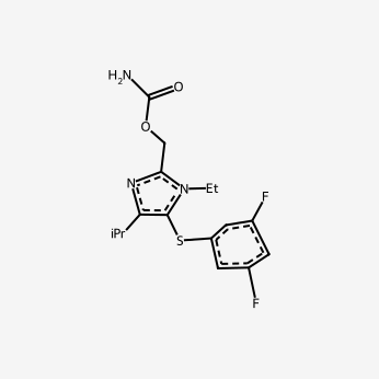 CCn1c(COC(N)=O)nc(C(C)C)c1Sc1cc(F)cc(F)c1